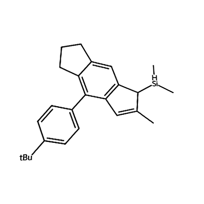 CC1=Cc2c(cc3c(c2-c2ccc(C(C)(C)C)cc2)CCC3)C1[SiH](C)C